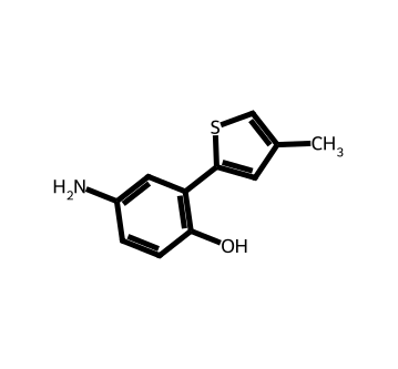 Cc1csc(-c2cc(N)ccc2O)c1